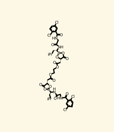 CC(C)C[C@H](NC(=O)CNC(=O)c1cc(Cl)ccc1Cl)B1OC(=O)[C@H](CC(=O)OCCOC(=O)C[C@@H]2OB([C@H](CC(C)C)NC(=O)CNC(=O)c3cc(Cl)ccc3Cl)OC2=O)O1